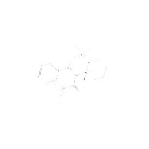 C[C@H]1CC[C@H]2[C@H](C1)C1=C(OC2(C)C)c2ccccc2C(=O)C1=O